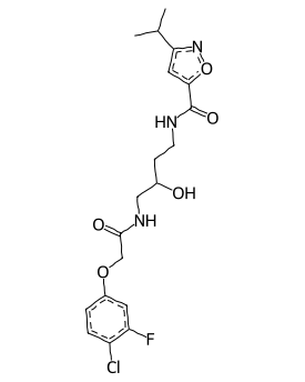 CC(C)c1cc(C(=O)NCCC(O)CNC(=O)COc2ccc(Cl)c(F)c2)on1